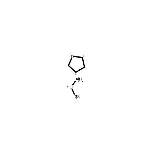 C1CCOC1.CC(C)(C)[O][AlH2]